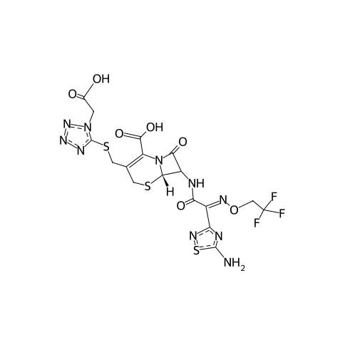 Nc1nc(C(=NOCC(F)(F)F)C(=O)NC2C(=O)N3C(C(=O)O)=C(CSc4nnnn4CC(=O)O)CS[C@@H]23)ns1